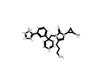 CCCCc1cn(C2CC2O)c(=O)n1CC1(c2cccc(-c3nnn[nH]3)c2)C=CN=CC1